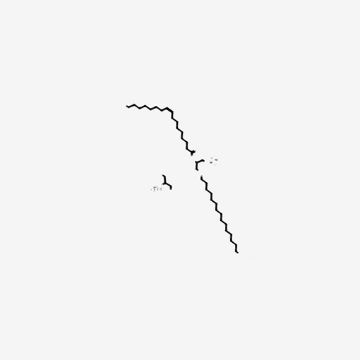 CCCCCCCC/C=C\CCCCCCCC(=O)OC(COCCCCCCCCCCCCCCCC)COP(=O)([O-])[O-].OCC(O)CO.[Na+].[Na+]